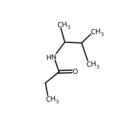 C[CH]C(=O)NC(C)C(C)C